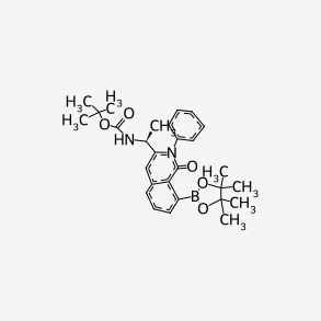 C[C@H](NC(=O)OC(C)(C)C)c1cc2cccc(B3OC(C)(C)C(C)(C)O3)c2c(=O)n1-c1ccccc1